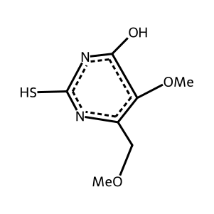 COCc1nc(S)nc(O)c1OC